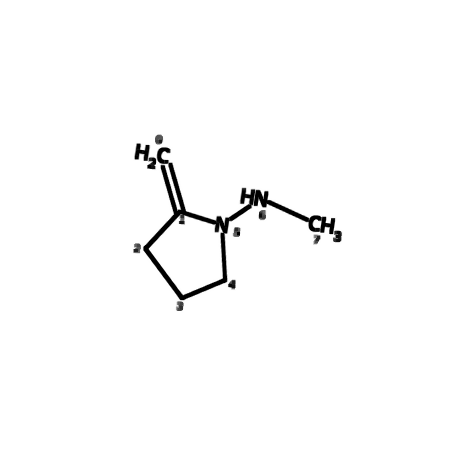 C=C1CCCN1NC